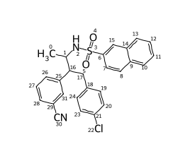 CC(NS(=O)(=O)c1ccc2ccccc2c1)C(Cc1ccc(Cl)cc1)c1cccc(C#N)c1